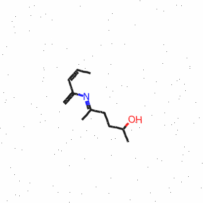 C=C(/C=C\C)/N=C(\C)CCC(C)O